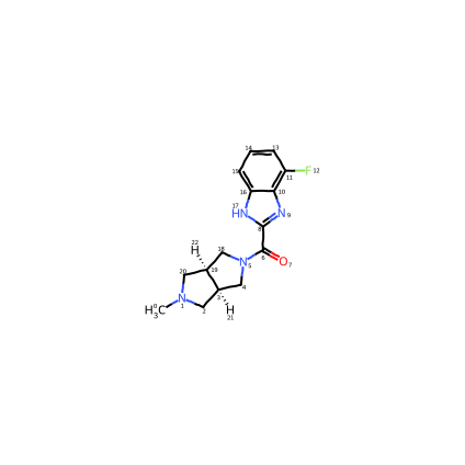 CN1C[C@@H]2CN(C(=O)c3nc4c(F)cccc4[nH]3)C[C@@H]2C1